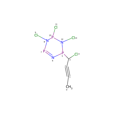 CC#CC(Cl)p1npn(Cl)p(Cl)n1Cl